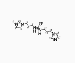 C[n+]1ccn(CCCNC(=O)NCCCn2ccnc2)c1